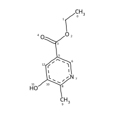 CCOC(=O)c1cnc(C)c(O)c1